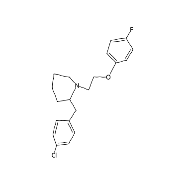 Fc1ccc(OCCN2CCCCC2Cc2ccc(Cl)cc2)cc1